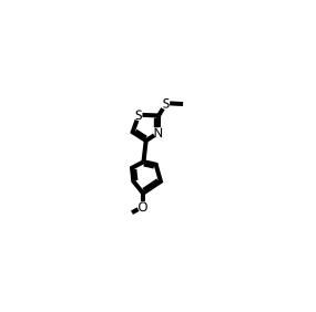 COc1ccc(-c2csc(SC)n2)cc1